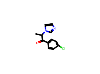 CC(C(=O)c1ccc(Cl)cc1)n1ccnc1